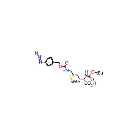 CSS[C@@H](CC[C@H](NC(=O)OC(C)(C)C)C(=O)O)CNC(=O)OCc1ccc(N=[N+]=[N-])cc1